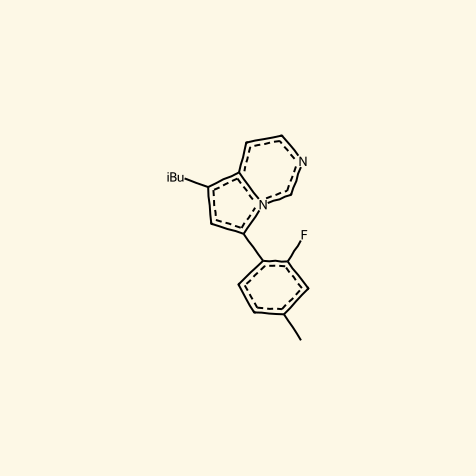 CCC(C)c1cc(-c2ccc(C)cc2F)n2cnccc12